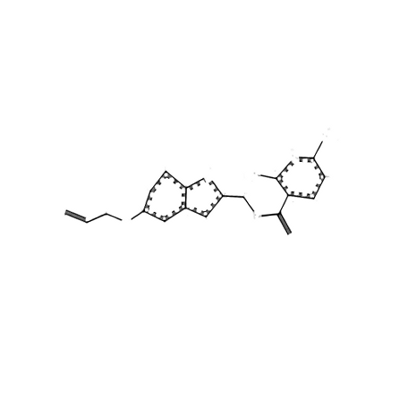 C=CCOc1ccc2oc(CNC(=C)c3ccc(N)nc3N)cc2c1